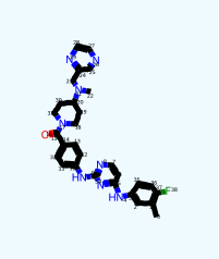 Cc1cc(Nc2ccnc(Nc3ccc(C(=O)N4CCC(N(C)Cc5cnccn5)CC4)cc3)n2)ccc1F